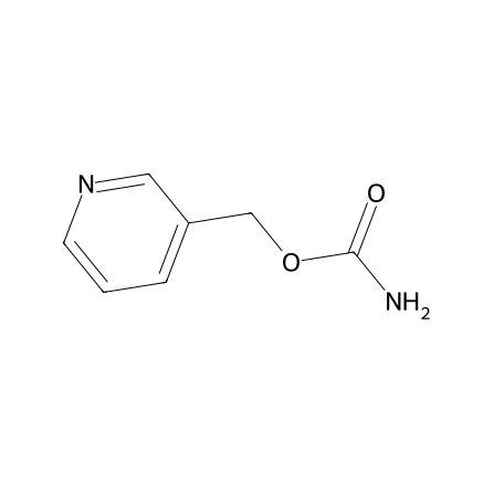 NC(=O)OCc1cccnc1